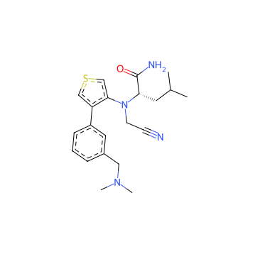 CC(C)C[C@@H](C(N)=O)N(CC#N)c1cscc1-c1cccc(CN(C)C)c1